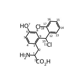 NC(Cc1ccc(O)cc1C(Cl)c1ccccc1Cl)C(=O)O